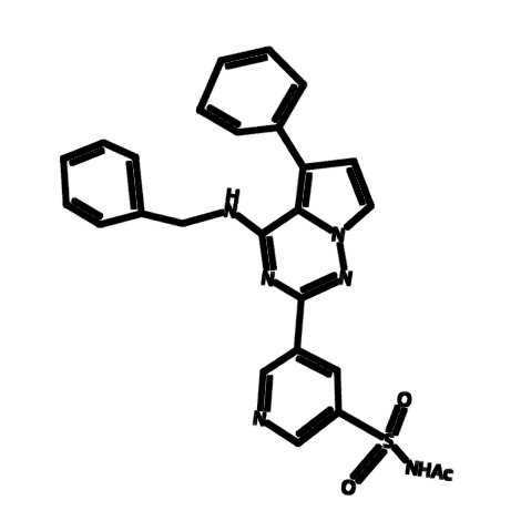 CC(=O)NS(=O)(=O)c1cncc(-c2nc(NCc3ccccc3)c3c(-c4ccccc4)ccn3n2)c1